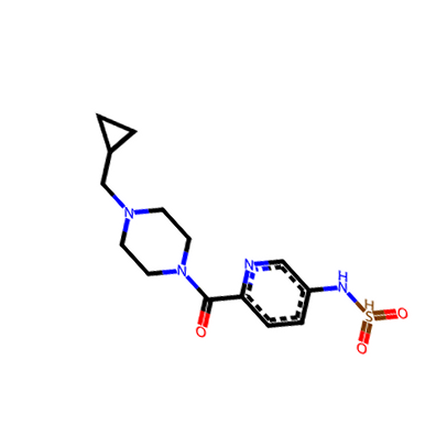 O=C(c1ccc(N[SH](=O)=O)cn1)N1CCN(CC2CC2)CC1